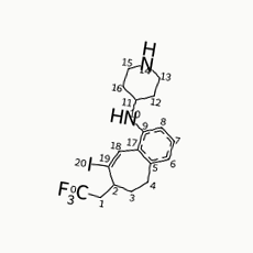 FC(F)(F)CC1CCc2cccc(NC3CCNCC3)c2C=C1I